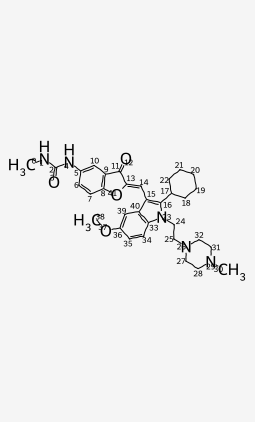 CNC(=O)Nc1ccc2c(c1)C(=O)/C(=C/c1c(C3CCCCC3)n(CCN3CCN(C)CC3)c3ccc(OC)cc13)O2